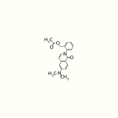 CC(=O)OCc1ccccc1-n1ccc2cc(N(C)C)ccc2c1=O